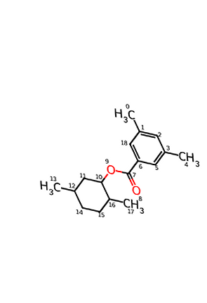 Cc1cc(C)cc(C(=O)OC2CC(C)CCC2C)c1